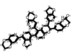 O=C1COc2ccc(C3Oc4nnc(-c5[c]nc(-c6cc7c(cn6)OCCO7)c6c5SCO6)c(-c5cc6c(nn5)OCCO6)c4SC3c3cc4c(cn3)OCC4)nc2N1